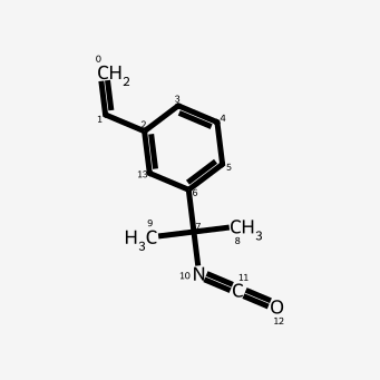 C=Cc1cccc(C(C)(C)N=C=O)c1